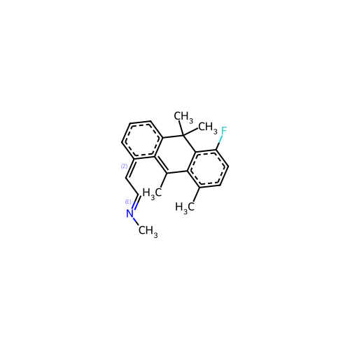 C/N=C/C=c1/cccc2c1=C(C)c1c(C)ccc(F)c1C2(C)C